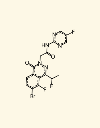 CC(F)c1nn(CC(=O)Nc2ncc(F)cn2)c(=O)c2ccc(Br)c(F)c12